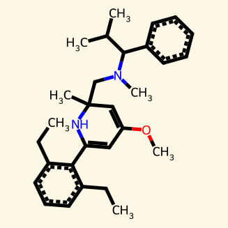 CCc1cccc(CC)c1C1=CC(OC)=CC(C)(CN(C)C(c2ccccc2)C(C)C)N1